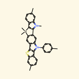 Cc1ccc(-n2c3cc4c(cc3c3sc5cc(C)ccc5c32)[Si](C)(C)c2c-4n(C)c3cc(C)ccc23)cc1